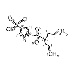 C=CCN(CC=C)S(=O)(=O)n1cc(S(=O)(=O)Cl)nn1